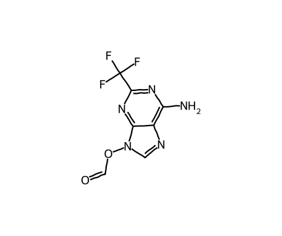 Nc1nc(C(F)(F)F)nc2c1ncn2OC=O